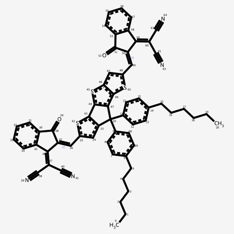 CCCCCCc1ccc(C2(c3ccc(CCCCCC)cc3)c3cc(/C=C4\C(=O)c5ccccc5C4=C(C#N)C#N)sc3-c3sc4cc(/C=C5\C(=O)c6ccccc6C5=C(C#N)C#N)sc4c32)cc1